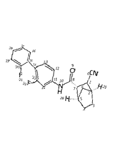 N#CC1[C@H]2CC[C@H](C2)[C@@H]1C(=O)Nc1ccc(-c2ccccc2F)c(F)c1